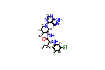 CC[C@H](C)[C@@H](Nc1cc(F)cc(Cl)c1)C(=O)N[C@H]1CN(c2ncnc3[nH]ncc23)CC[C@@H]1C